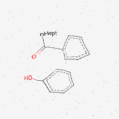 CCCCCCCC(=O)c1ccccc1.Oc1ccccc1